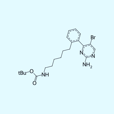 CC(C)(C)OC(=O)NCCCCCCc1ccccc1-c1nc(N)ncc1Br